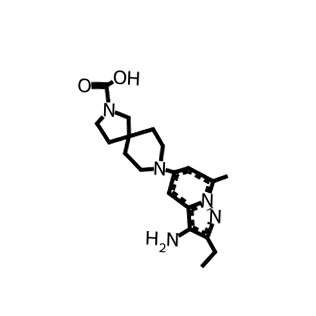 CCc1nn2c(C)cc(N3CCC4(CCN(C(=O)O)C4)CC3)cc2c1N